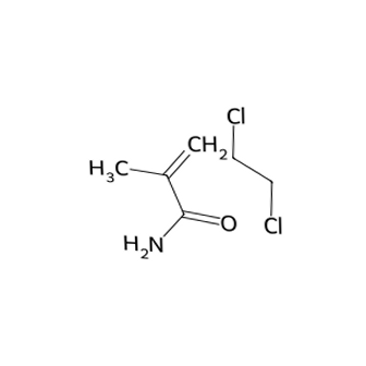 C=C(C)C(N)=O.ClCCCl